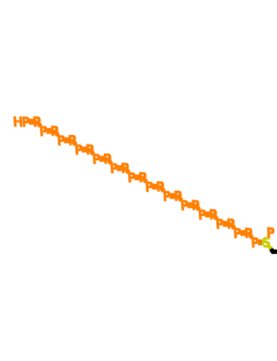 CCS(#P)=PP=PP=PP=PP=PP=PP=PP=PP=PP=PP=PP=PP=PP=P